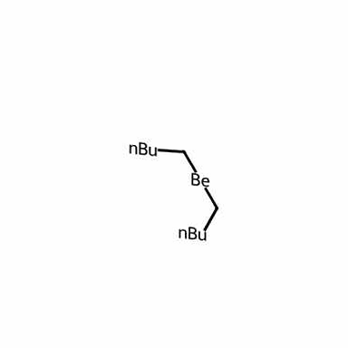 CCCC[CH2][Be][CH2]CCCC